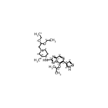 CCOC(CN1CC[C@H](Nc2nc3cnc(-c4cn[nH]c4)c(OC(C)C)n3n2)[C@H](C)C1)OCC